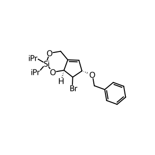 CC(C)[Si]1(C(C)C)OCC2=C[C@H](OCc3ccccc3)C(Br)[C@H]2O1